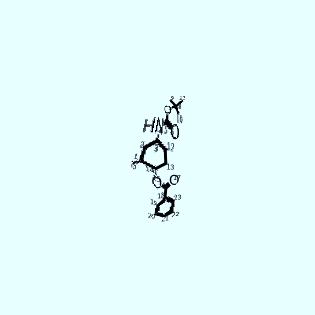 C[C@H]1C[C@H](NC(=O)OC(C)(C)C)CC[C@@H]1OC(=O)c1ccccc1